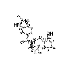 Cc1nc2ccc(C(=O)N3CCC4(C)c5cccc(O)c5CC3C4(C)C)cc2[nH]1